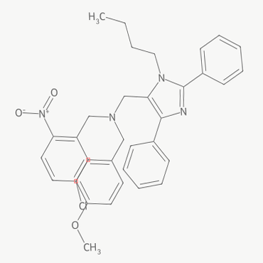 CCCCn1c(-c2ccccc2)nc(-c2ccccc2)c1CN(Cc1ccc(OC)cc1)Cc1cc(Cl)ccc1[N+](=O)[O-]